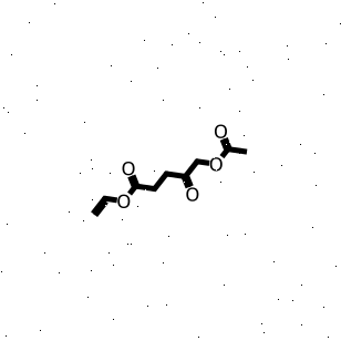 C=COC(=O)CCC(=O)COC(C)=O